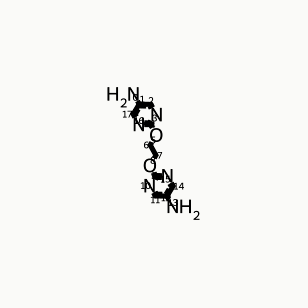 Nc1cnc(OCCOc2ncc(N)cn2)nc1